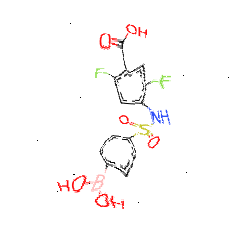 O=C(O)c1cc(F)c(NS(=O)(=O)c2ccc(B(O)O)cc2)cc1F